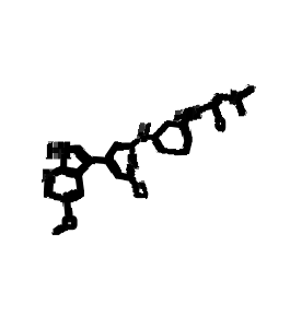 COc1cnc2[nH]cc(-c3cc(Cl)nc(NC4CCCC(NC(=O)CN(C)C)C4)c3)c2c1